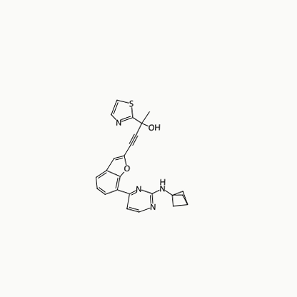 CC(O)(C#Cc1cc2cccc(-c3ccnc(NC45CC(C4)C5)n3)c2o1)c1nccs1